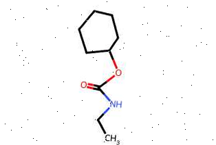 C[CH]NC(=O)OC1CCCCC1